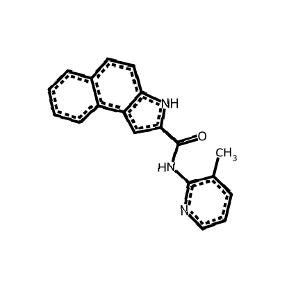 Cc1cccnc1NC(=O)c1cc2c(ccc3ccccc32)[nH]1